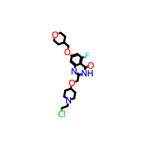 O=c1[nH]c(COC2CCN(CCCl)CC2)nc2cc(OCC3CCOCC3)cc(F)c12